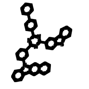 c1ccc(-c2ccc(-c3nc(-c4cccc(-n5c6ccccc6c6cc7ccccc7cc65)c4)nc(-c4ccc5sc6ccccc6c5c4)n3)cc2)cc1